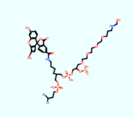 CCC(CC)CCOP(=O)(O)OCC(CCCCNC(=O)c1ccc2c(c1)C(=O)OC21c2ccc(O)cc2Oc2cc(O)ccc21)COP(=O)(O)OCC(COCCOCCOCCOCCCNCO)O[PH](=O)O